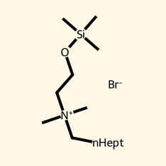 CCCCCCCC[N+](C)(C)CCO[Si](C)(C)C.[Br-]